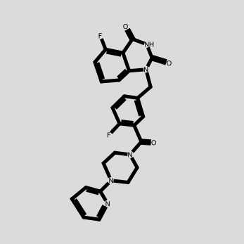 O=C(c1cc(Cn2c(=O)[nH]c(=O)c3c(F)cccc32)ccc1F)N1CCN(c2ccccn2)CC1